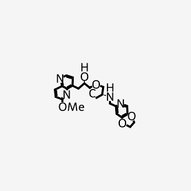 COc1ccc2nccc(C[C@H](O)[C@@H]3CC[C@@H](NCc4cc5c(cn4)OCCO5)CO3)c2n1